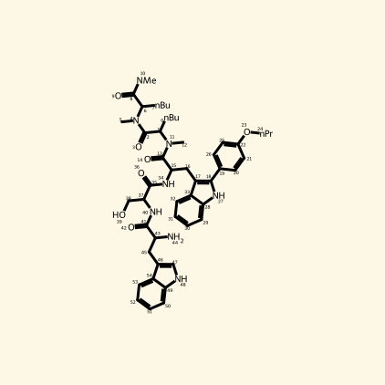 CCCCC(C(=O)N(C)C(CCCC)C(=O)NC)N(C)C(=O)C(Cc1c(-c2ccc(OCCC)cc2)[nH]c2ccccc12)NC(=O)C(CO)NC(=O)C(N)Cc1c[nH]c2ccccc12